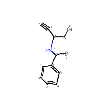 C#CC(CC#N)NC(CC)c1ccccc1